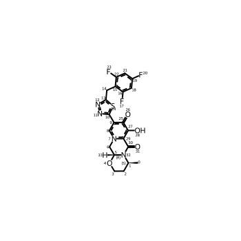 C[C@H]1CCO[C@@H]2Cn3cc(-c4nnc(Cc5c(F)cc(F)cc5F)s4)c(=O)c(O)c3C(=O)N12